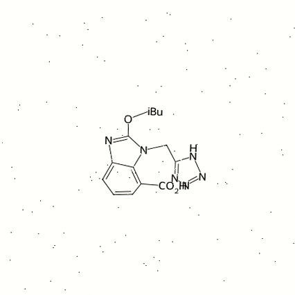 CCC(C)Oc1nc2cccc(C(=O)O)c2n1Cc1nnn[nH]1